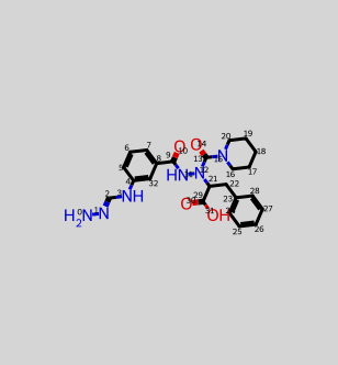 NN=CNc1cccc(C(=O)NN(C(=O)N2CCCCC2)C(Cc2ccccc2)C(=O)O)c1